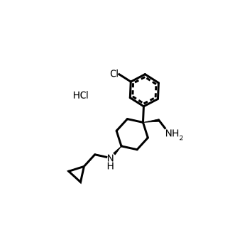 Cl.NC[C@]1(c2cccc(Cl)c2)CC[C@H](NCC2CC2)CC1